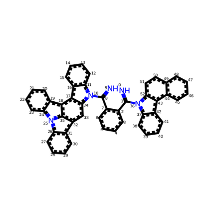 N=C(c1ccccc1C(=N)n1c2ccccc2c2c3c4ccccc4n4c5ccccc5c(cc21)c34)n1c2ccccc2c2c3ccccc3ccc21